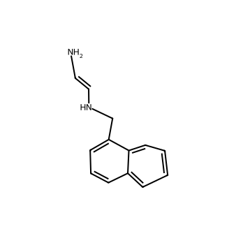 NC=CNCc1cccc2ccccc12